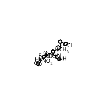 C[C@@H]1CN(c2ccc(C(=O)CS(=O)(=O)c3cc(F)c(NCC4COCCO4)c([N+](=O)[O-])c3)c(Oc3cnc4[nH]ccc4c3)c2)CCN1CC1=C(c2ccc(Cl)cc2)CCCC1